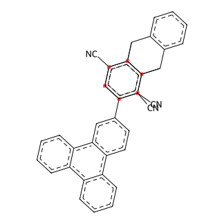 N#Cc1cccc2c1C1c3ccccc3C2c2c(C#N)cc(-c3ccc4c5ccccc5c5ccccc5c4c3)c(C#N)c21